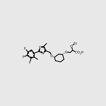 CCOC(CO[C@@H]1CCC[C@H](OCc2nc(-c3cc(F)c(F)c(F)c3C)oc2C)C1)C(=O)O